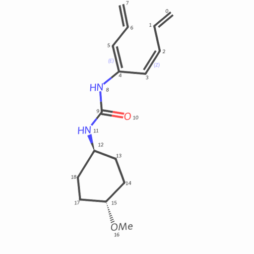 C=C/C=C\C(=C/C=C)NC(=O)N[C@H]1CC[C@H](OC)CC1